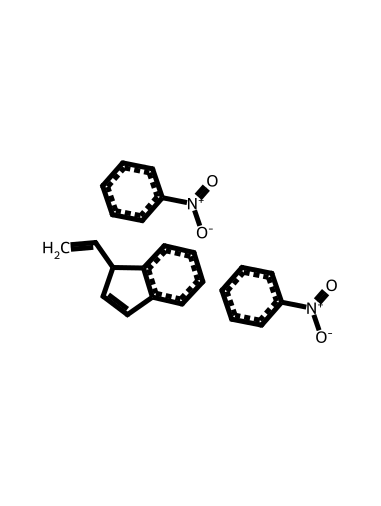 C=CC1C=Cc2ccccc21.O=[N+]([O-])c1ccccc1.O=[N+]([O-])c1ccccc1